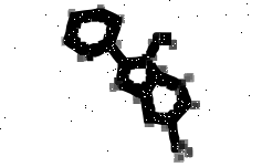 Cn1c(-c2ccccn2)nc2cc(C(F)(F)F)cnc21